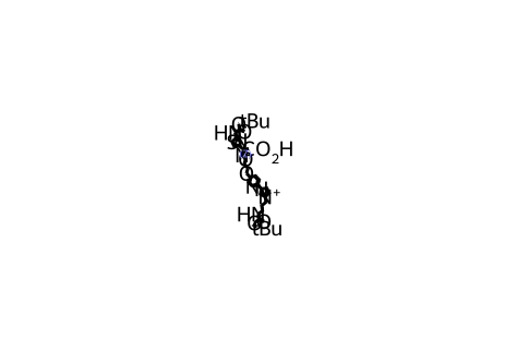 CC(C)(C)OC(=O)NCCC[n+]1ccn(-c2ccc(OCCO/N=C(\C(=O)O)c3csc(NC(=O)OC(C)(C)C)n3)cn2)c1